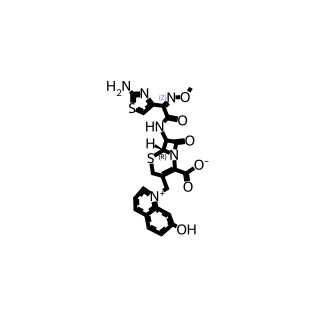 CO/N=C(\C(=O)NC1C(=O)N2C(C(=O)[O-])=C(C[n+]3cccc4ccc(O)cc43)CS[C@H]12)c1csc(N)n1